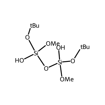 CO[Si](O)(OC(C)(C)C)O[Si](O)(OC)OC(C)(C)C